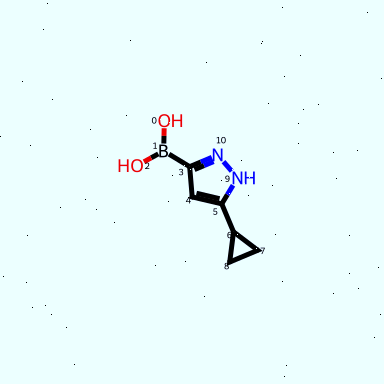 OB(O)c1cc(C2CC2)[nH]n1